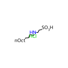 CCCCCCCCCCCCNCCCS(=O)(=O)O.Cl